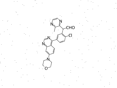 Cc1nccnc1C(C=O)c1cc(-c2ncnc3cc(N4CCOCC4)ccc23)ccc1Cl